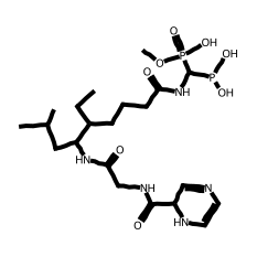 CCC(CCCC(=O)NC(P(O)O)P(=O)(O)OC)C(CC(C)C)NC(=O)CNC(=O)C1C=NC=CN1